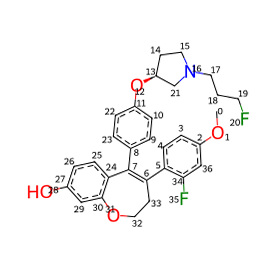 COc1ccc(C2=C(c3ccc(O[C@H]4CCN(CCCF)C4)cc3)c3ccc(O)cc3OCC2)c(F)c1